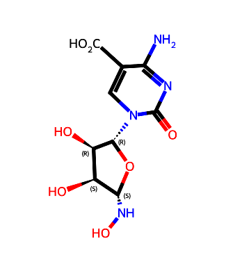 Nc1nc(=O)n([C@@H]2O[C@H](NO)[C@@H](O)[C@H]2O)cc1C(=O)O